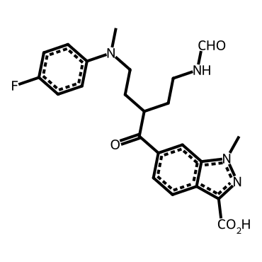 CN(CCC(CCNC=O)C(=O)c1ccc2c(C(=O)O)nn(C)c2c1)c1ccc(F)cc1